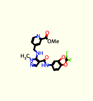 COC(=O)c1cc(CNc2c(C(=O)Nc3ccc4c(c3)OC(F)(F)O4)cnn2C)ccn1